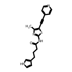 Cc1nc(NC(=O)CCCc2cc[nH]c2)sc1C#Cc1ccncc1